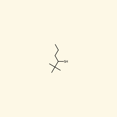 CCCC(S)C(C)(C)C